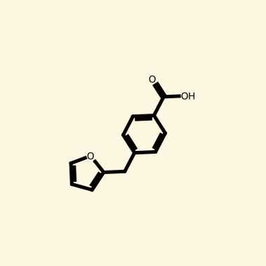 O=C(O)c1ccc(Cc2ccco2)cc1